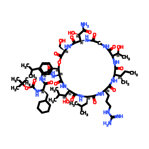 CC[C@H](C)C1NC(=O)[C@@H](CCCNC(=N)N)NC(=O)[C@H](CC(C)C)NC(=O)[C@H]([C@H](O)C(C)C)NC(=O)[C@@H](NC(=O)[C@H](CC(C)C)NC(=O)[C@H](CC2CCCCC2)NC(=O)OC(C)(C)C)[C@@H](c2ccccc2)OC(=O)[C@H](CO)NC(=O)[C@H]([C@H](O)C(N)=O)NC(=O)CNC(=O)C([C@H](C)O)NC1=O